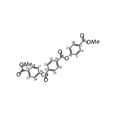 COC(=O)c1ccc(OC(=O)c2cc[c]([Co](=[O])[c]3ccc(C(=O)OC)cc3)cc2)cc1